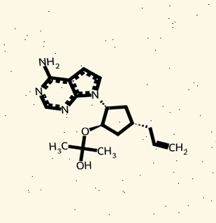 C=CC[C@H]1C[C@@H](n2ccc3c(N)ncnc32)[C@H](OC(C)(C)O)C1